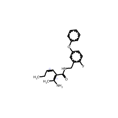 CC/C=C\C(C(=O)NCc1cc(Oc2ccccc2)ccc1F)=C(/C)N